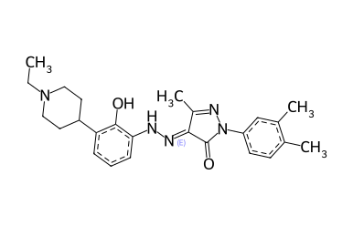 CCN1CCC(c2cccc(N/N=C3/C(=O)N(c4ccc(C)c(C)c4)N=C3C)c2O)CC1